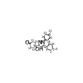 Cc1ccc(-c2cc(C3(O)CCC(=O)CC3)nn2-c2ccc(C)cc2)cc1